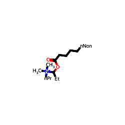 CCCCCCCCCCCCCC(=O)OC(CC)[N+](C)(C)CCC